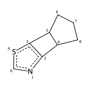 c1nc2c(s1)C1CCCC21